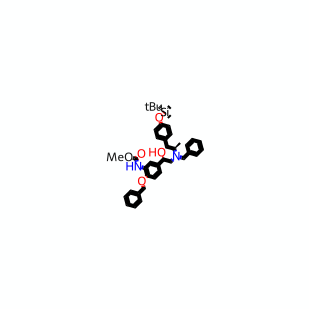 COC(=O)Nc1cc([C@H](O)CN(Cc2ccccc2)[C@H](C)Cc2ccc(O[Si](C)(C)C(C)(C)C)cc2)ccc1OCc1ccccc1